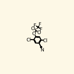 N#Cc1cc(Cl)c(OS(=O)(=O)C(F)(F)F)cc1Cl